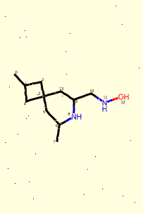 CC1CC2(C1)CC(C)NC(CNO)C2